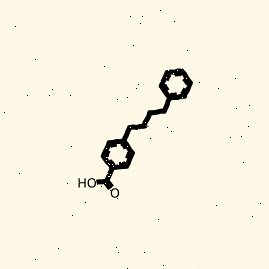 O=C(O)c1ccc(C[CH]CCc2ccccc2)cc1